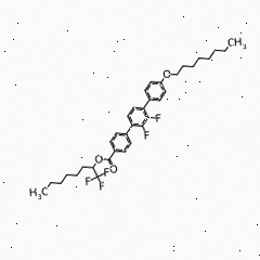 CCCCCCCCOc1ccc(-c2ccc(-c3ccc(C(=O)OC(CCCCCC)C(F)(F)F)cc3)c(F)c2F)cc1